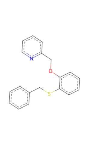 c1ccc(CSc2ccccc2OCc2ccccn2)cc1